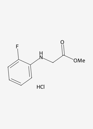 COC(=O)CNc1ccccc1F.Cl